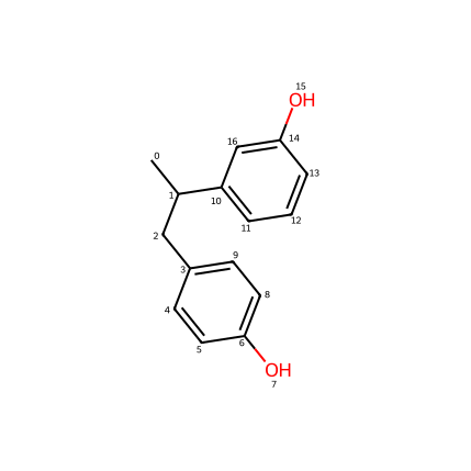 CC(Cc1ccc(O)cc1)c1cccc(O)c1